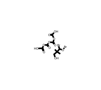 CC(C)(CO)C(Br)OBr.O=C(O)OC(=O)OC(=O)OC(=O)O